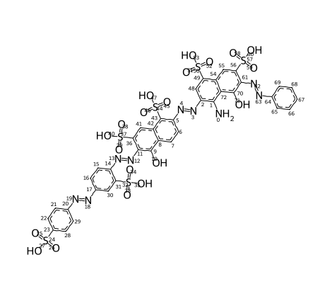 Nc1c(N=Nc2ccc3c(O)c(N=Nc4ccc(N=Nc5ccc(S(=O)(=O)O)cc5)cc4S(=O)(=O)O)c(S(=O)(=O)O)cc3c2S(=O)(=O)O)cc(S(=O)(=O)O)c2cc(S(=O)(=O)O)c(N=Nc3ccccc3)c(O)c12